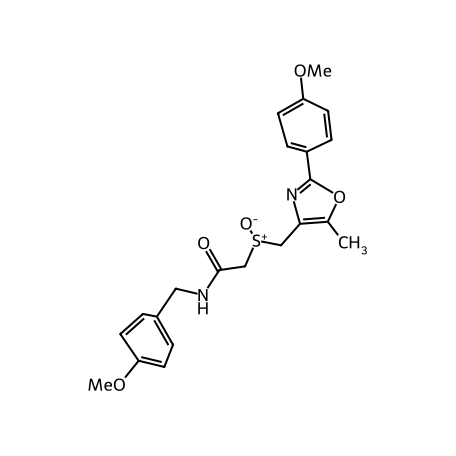 COc1ccc(CNC(=O)C[S+]([O-])Cc2nc(-c3ccc(OC)cc3)oc2C)cc1